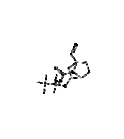 BC(=O)N1C2CCC1(C=O)CC2O[Si](C)(C)C(C)(C)C